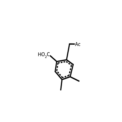 CC(=O)Cc1cc(C)c(C)cc1C(=O)O